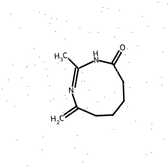 C=C1CCCCC(=O)N/C(C)=N\1